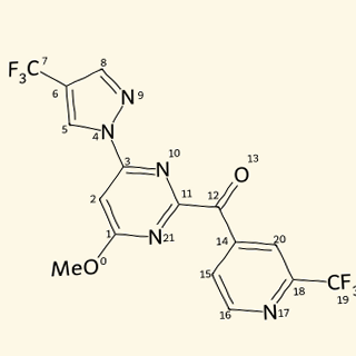 COc1cc(-n2cc(C(F)(F)F)cn2)nc(C(=O)c2ccnc(C(F)(F)F)c2)n1